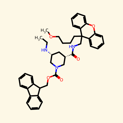 CCN[C@@H]1C[C@H](C(=O)NCC2(CCCCOC)c3ccccc3Oc3ccccc32)CN(C(=O)OCC2c3ccccc3-c3ccccc32)C1